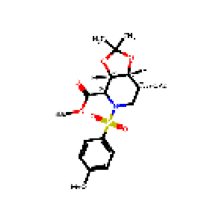 CCCCOC(=O)[C@H]1[C@@H]2OC(C)(C)O[C@@H]2[C@H](OC(C)=O)CN1S(=O)(=O)c1ccc(OC)cc1